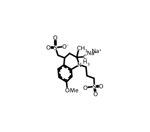 COc1ccc2c(c1)N(CCCS(=O)(=O)[O-])C(C)(C)CC2CS(=O)(=O)[O-].[Na+].[Na+]